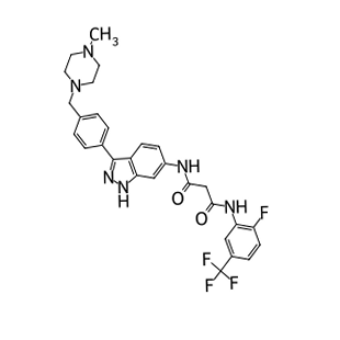 CN1CCN(Cc2ccc(-c3n[nH]c4cc(NC(=O)CC(=O)Nc5cc(C(F)(F)F)ccc5F)ccc34)cc2)CC1